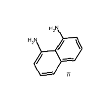 Nc1cccc2cccc(N)c12.[Ti]